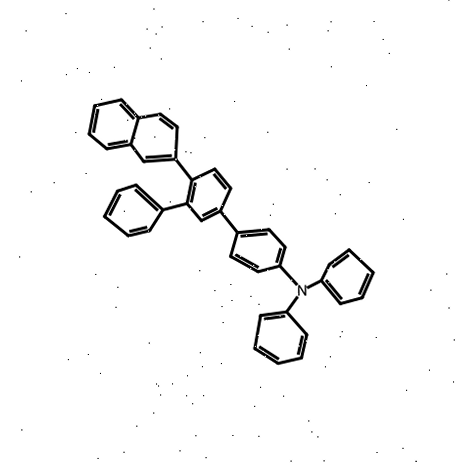 c1ccc(-c2cc(-c3ccc(N(c4ccccc4)c4ccccc4)cc3)ccc2-c2ccc3ccccc3c2)cc1